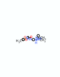 Cc1ccc(S(=O)(=O)n2ccc(C(=O)N[C@H]3CC[C@@H](Nc4nc5c(c(N(C)C)n4)CCCC5)CC3)c2)cc1